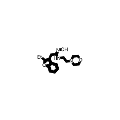 CCc1oc2ccccc2c1CC(=NO)NCCN1CCOCC1